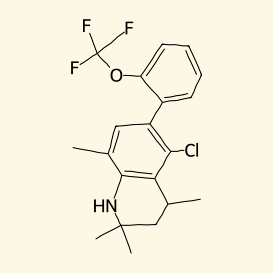 Cc1cc(-c2ccccc2OC(F)(F)F)c(Cl)c2c1NC(C)(C)CC2C